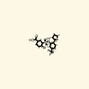 O=C(O)c1ccc(Br)c(S(=O)(=O)Nc2cc(C(F)(F)F)ccc2-c2cccs2)c1